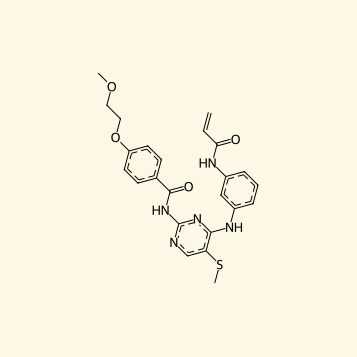 C=CC(=O)Nc1cccc(Nc2nc(NC(=O)c3ccc(OCCOC)cc3)ncc2SC)c1